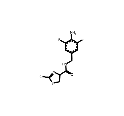 Nc1c(F)cc(CNC(=O)C2CSC(Cl)=N2)cc1F